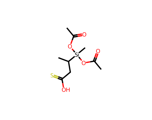 CC(=O)O[Si](C)(OC(C)=O)C(C)CC(O)=S